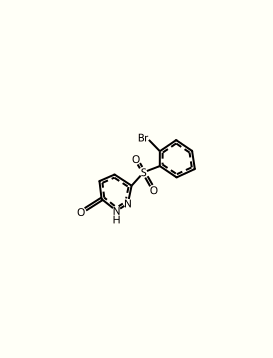 O=c1ccc(S(=O)(=O)c2ccccc2Br)n[nH]1